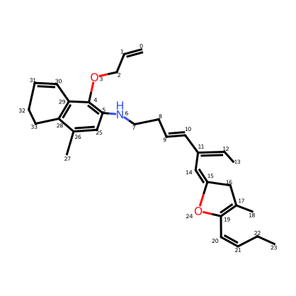 C=CCOc1c(NCC/C=C/C(=C/C)/C=C2\CC(C)=C(/C=C\CC)O2)cc(C)c2c1C=CCC2